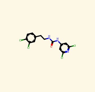 O=C(NCCc1ccc(Cl)c(Cl)c1)Nc1cc(Cl)nc(Cl)c1